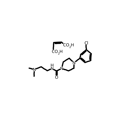 CN(C)CCNC(=O)N1CCN(c2cccc(Cl)c2)CC1.O=C(O)/C=C\C(=O)O